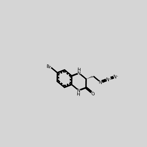 [N-]=[N+]=NC[C@H]1Nc2cc(Br)ccc2NC1=O